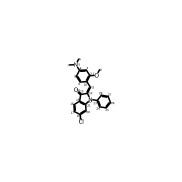 COc1cc(N(C)C)ccc1C=C1C(=O)c2ccc(Cl)cc2N1c1ccccc1